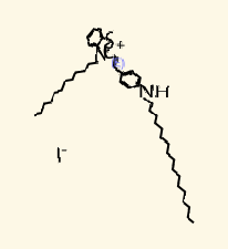 CCCCCCCCCCCCCCCCCCNc1ccc(/C=C/[c+]2sc3ccccc3n2CCCCCCCCCCCC)cc1.[I-]